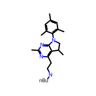 CCCC[N]CCc1nc(C)nc2c1C(C)CN2c1c(C)cc(C)cc1C